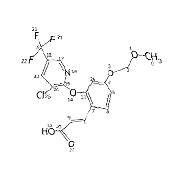 COCOc1ccc(C=CC(=O)O)c(Oc2ncc(C(F)(F)F)cc2Cl)c1